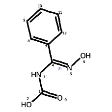 O=C(O)N/C(=N/O)c1ccccc1